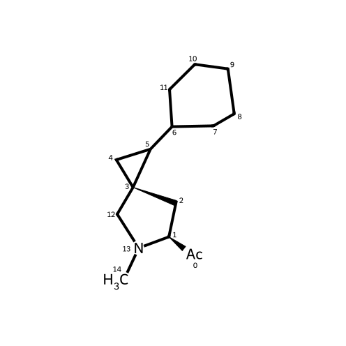 CC(=O)[C@@H]1C[C@]2(CC2C2CCCCC2)CN1C